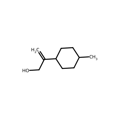 C=C(CO)C1CCC(C)CC1